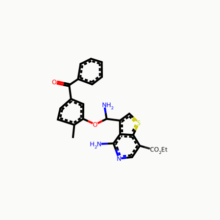 CCOC(=O)c1cnc(N)c2c(C(N)Oc3cc(C(=O)c4ccccc4)ccc3C)csc12